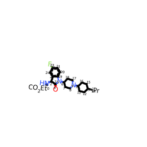 CCOC(=O)NC1C(=O)N(C2CCN(C3CCC(C(C)C)CC3)CC2)c2ccc(F)cc21